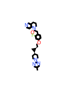 Cc1cnc(N2CCC([C@H]3C[C@H]3CCOc3ccc(CC(=O)N4CCCc5cnccc54)c(F)c3)CC2)nc1